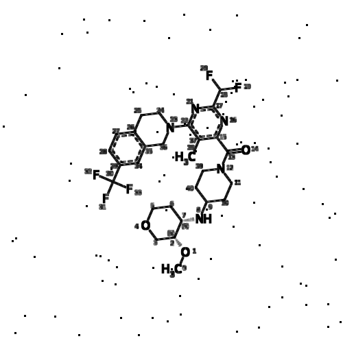 CO[C@@H]1COCC[C@@H]1NC1CCN(C(=O)c2nc(C(F)F)nc(N3CCc4ccc(C(F)(F)F)cc4C3)c2C)CC1